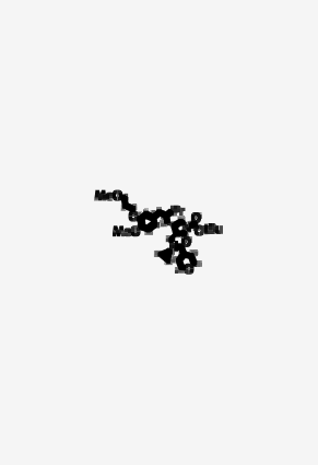 COCCCOc1cc(CC(C[C@@H]2CN(C(=O)OC(C)(C)C)C[C@H]2CN(C(=O)C2CCOCC2)C2CC2)C(C)C)ccc1OC